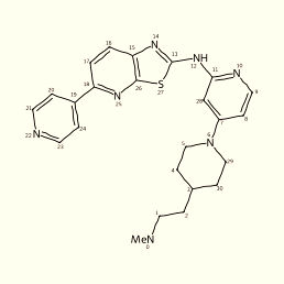 CNCCC1CCN(c2ccnc(Nc3nc4ccc(-c5ccncc5)nc4s3)c2)CC1